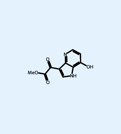 COC(=O)C(=O)c1c[nH]c2c(O)ccnc12